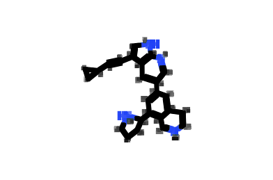 C(#CC1CC1)c1c[nH]c2ncc(-c3cc(C4CCCN4)c4cnccc4c3)cc12